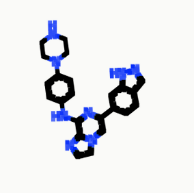 c1cn2cc(-c3ccc4cn[nH]c4c3)nc(Nc3ccc(N4CCNCC4)cc3)c2n1